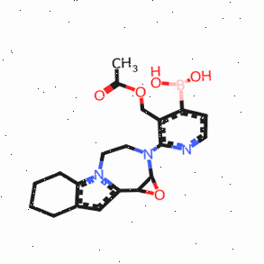 CC(=O)OCc1c(B(O)O)ccnc1N1CCn2c(cc3c2CCCC3)C2OC21